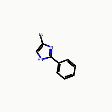 CCc1c[nH]c(-c2cc[c]cc2)n1